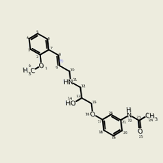 COc1ccccc1/C=C/CNCC(O)COc1cccc(NC(C)=O)c1